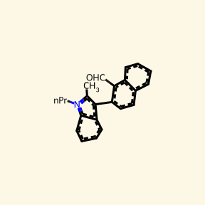 CCCn1c(C)c(-c2ccc3ccccc3c2C=O)c2ccccc21